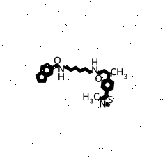 Cc1ncsc1-c1ccc([C@@H](C)CC(=O)NCCCCCCNC(=O)c2ccc3c(c2)CCC3)cc1